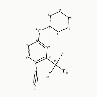 N#Cc1ccc(OC2CCCCC2)cc1C(F)(F)F